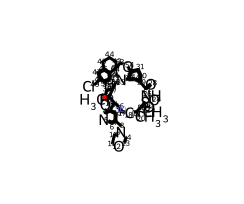 CO[C@@]1(c2cncc(CN3CCOCC3)c2)/C=C/C[C@H](C)[C@@H](C)S(=O)(=O)NC(=O)c2ccc3c(c2)N(C[C@@H]2CC[C@H]21)C[C@@]1(CCCc2cc(Cl)ccc21)CO3